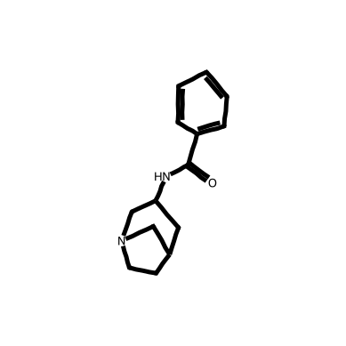 O=C(NC1CC2CCN(C2)C1)c1ccccc1